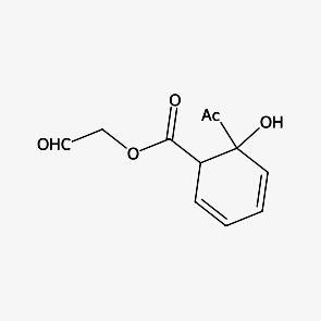 CC(=O)C1(O)C=CC=CC1C(=O)OCC=O